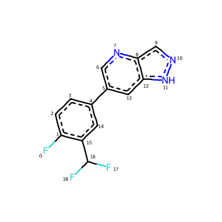 Fc1ccc(-c2cnc3cn[nH]c3c2)cc1C(F)F